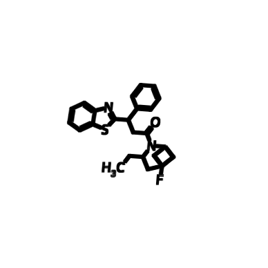 CCC1CC2(F)CC(C2)N1C(=O)CC(c1ccccc1)c1nc2ccccc2s1